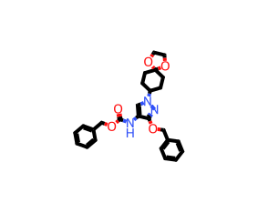 O=C(Nc1cn(C2CCC3(CC2)OCCO3)nc1OCc1ccccc1)OCc1ccccc1